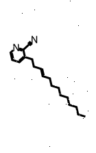 CCCCCCCCCC=CCCc1cccnc1C#N